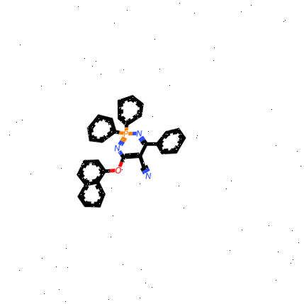 N#CC1=C(Oc2cccc3ccccc23)N=P(c2ccccc2)(c2ccccc2)N=C1c1ccccc1